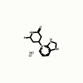 Cl.O=C1CC([n+]2cccc3c2NCN3)CC(F)N1.[Cl-]